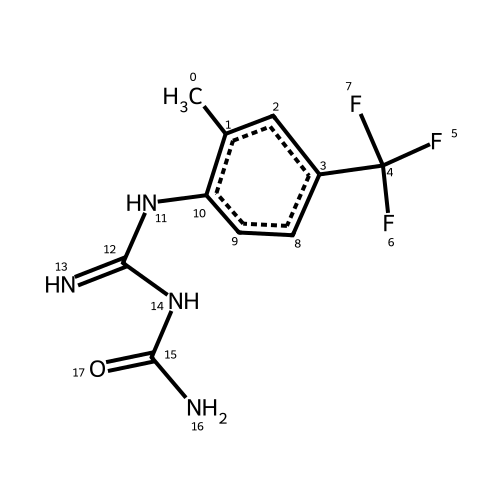 Cc1cc(C(F)(F)F)ccc1NC(=N)NC(N)=O